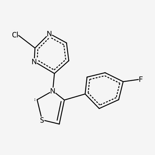 Fc1ccc(C2=CS[C]N2c2ccnc(Cl)n2)cc1